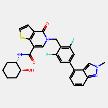 Cn1cc2c(-c3cc(F)c(Cn4cc(C(=O)N[C@H]5CCCC[C@@H]5O)c5sccc5c4=O)c(F)c3)cccc2n1